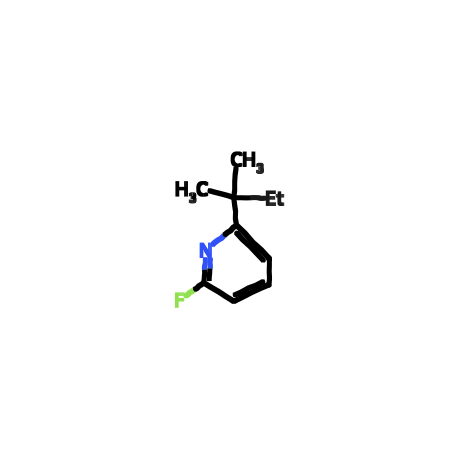 CCC(C)(C)c1cccc(F)n1